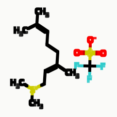 CC(C)=CCCC(C)=CC[S+](C)C.O=S(=O)([O-])C(F)(F)F